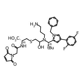 CC(C)(C)[C@H](c1cc(-c2cc(F)ccc2F)cn1Cc1ccccc1)N(CCCN)C(O)CSC[C@H](NC(=O)CN1C(=O)C=CC1=O)C(=O)O